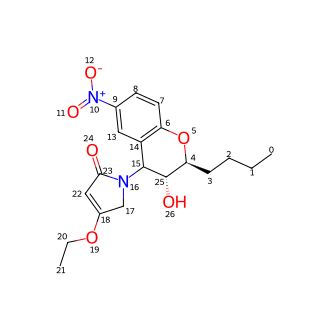 CCCC[C@@H]1Oc2ccc([N+](=O)[O-])cc2C(N2CC(OCC)=CC2=O)[C@H]1O